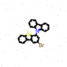 Brc1cc(-n2c3ccccc3c3ccccc32)c2sc3ccccc3c2c1